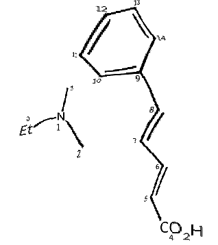 CCN(C)C.O=C(O)C=CC=Cc1ccccc1